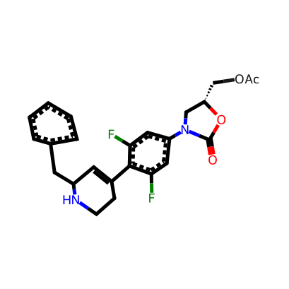 CC(=O)OC[C@H]1CN(c2cc(F)c(C3=CC(Cc4ccccc4)NCC3)c(F)c2)C(=O)O1